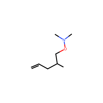 C=CCC(C)CON(C)C